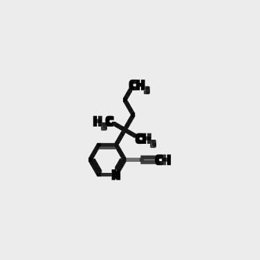 C#Cc1ncccc1C(C)(C)CCC